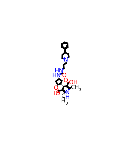 CC1=C(C(=O)O)C([C@@H]2CC[C@H](NC(=O)NCCCN3CCC(c4ccccc4)CC3)C2)C(C(=O)O)=C(C)N1